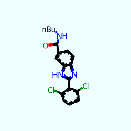 CCCCNC(=O)c1ccc2nc(-c3c(Cl)cccc3Cl)[nH]c2c1